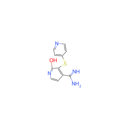 N=C(N)c1ccnc(O)c1Sc1ccncc1